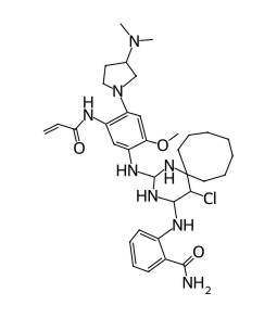 C=CC(=O)Nc1cc(NC2NC(Nc3ccccc3C(N)=O)C(Cl)C3(CCCCCCC3)N2)c(OC)cc1N1CCC(N(C)C)C1